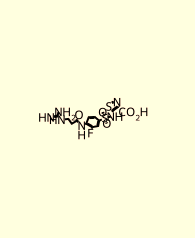 N=C(N)NCCC(=O)Nc1ccc(S(=O)(=O)Nc2scnc2C(=O)O)cc1F